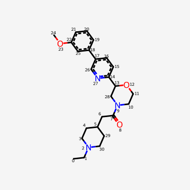 CCN1CCC(CC(=O)N2CCOC(c3ccc(-c4cccc(OC)c4)cn3)C2)CC1